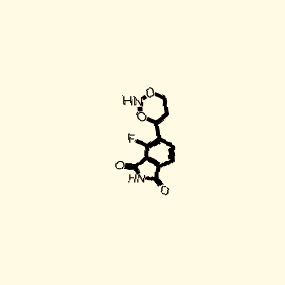 O=C1NC(=O)c2c1ccc(C1CCONO1)c2F